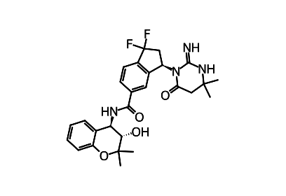 CC1(C)CC(=O)N([C@@H]2CC(F)(F)c3ccc(C(=O)N[C@@H]4c5ccccc5OC(C)(C)[C@H]4O)cc32)C(=N)N1